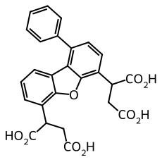 O=C(O)CC(C(=O)O)c1cccc2c1oc1c(C(CC(=O)O)C(=O)O)ccc(-c3ccccc3)c12